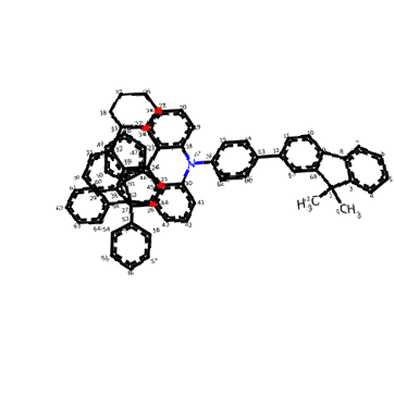 CC1(C)c2ccccc2-c2ccc(-c3ccc(N(c4ccccc4-c4cccc5cccc(C6CCCCC6)c45)c4cccc5c4-c4ccccc4C5(c4ccccc4)c4ccccc4)cc3)cc21